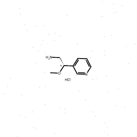 CO[C@H](CN)c1cccnc1.Cl